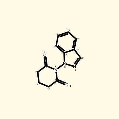 O=C1CCCC(=O)N1n1ncc2ccccc21